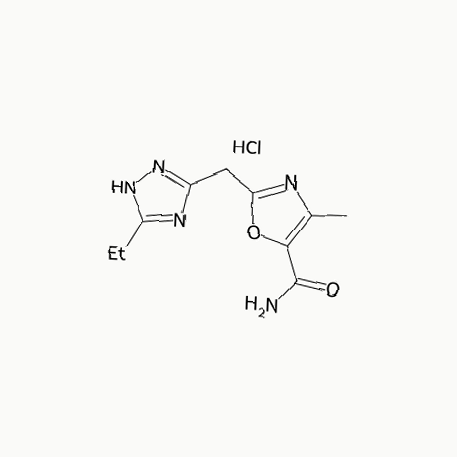 CCc1nc(Cc2nc(C)c(C(N)=O)o2)n[nH]1.Cl